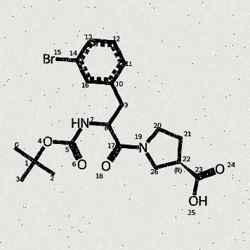 CC(C)(C)OC(=O)NC(Cc1cccc(Br)c1)C(=O)N1CC[C@@H](C(=O)O)C1